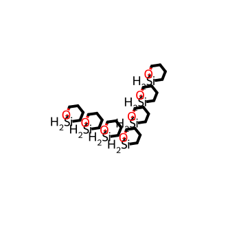 C1CC[SiH2]OC1.C1CC[SiH2]OC1.C1CC[SiH2]OC1.C1CC[SiH2]OC1.C1CC[SiH2]OC1.C1CC[SiH2]OC1.C1CC[SiH2]OC1